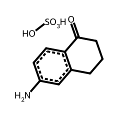 Nc1ccc2c(c1)CCCC2=O.O=S(=O)(O)O